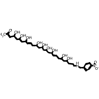 CC(=O)CC(O)CC(O)CC(O)/C=C/CC(O)CC(O)CC(O)CC(O)/C=C/CC(O)CC(O)CCCNCc1ccc([N+](=O)[O-])cc1